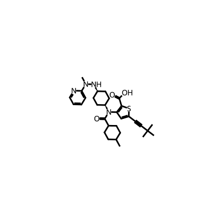 CC1CCC(C(=O)N(c2cc(C#CC(C)(C)C)sc2C(=O)O)[C@H]2CC[C@@H](NN(C)c3ccccn3)CC2)CC1